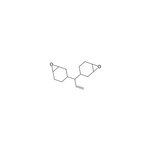 C=CC(C1CCC2OC2C1)C1CCC2OC2C1